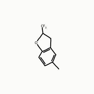 Cc1ccc2c(c1)CC(C(F)(F)F)O2